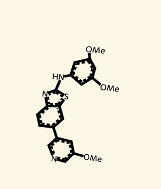 COc1cc(Nc2nc3ccc(-c4cncc(OC)c4)cc3s2)cc(OC)c1